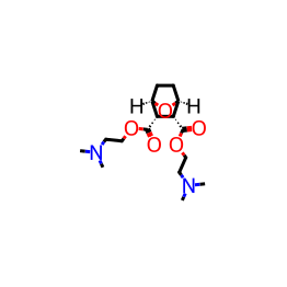 CN(C)CCOC(=O)[C@@H]1[C@H](C(=O)OCCN(C)C)[C@H]2CC[C@@H]1O2